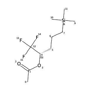 CC(=O)O[C@@H](C[CH]C[Si](C)(C)C)C(F)(F)F